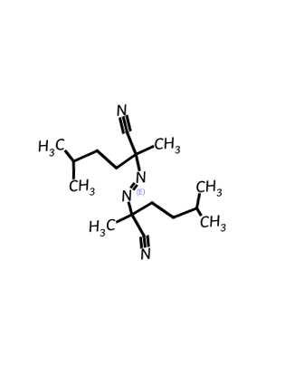 CC(C)CCC(C)(C#N)/N=N/C(C)(C#N)CCC(C)C